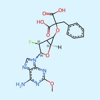 COc1nc(N)c2ncn([C@@H]3O[C@@H]4C(OC(Cc5ccccc5)(C(=O)O)C(=O)O)C4[C@@H]3F)c2n1